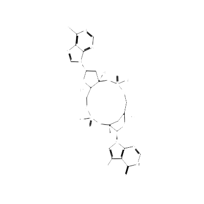 Nc1ncnc2c1ncn2[C@H]1C[C@@H]2OP(=O)(S)OC[C@@H]3C[C@@H](OP(=O)(O)OC[C@H]2O1)[C@H](n1cc(F)c2c(=O)[nH]cnc21)O3